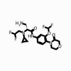 NC[C@H](C(=O)Nc1ccc(N2CCOCC2=O)c(OC(F)F)c1)N(CC(F)F)C1CC1